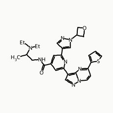 CCN(CC)C(C)CNC(=O)c1cc(-c2cnn(C3COC3)c2)nc(-c2cnn3ccc(-c4cccs4)nc23)c1